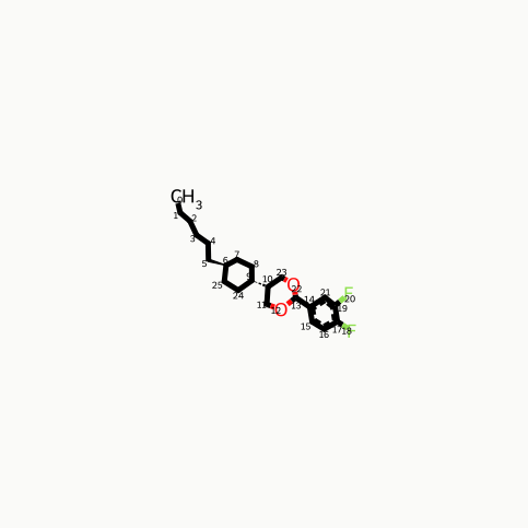 CCCCCC[C@H]1CC[C@H](C2COC(c3ccc(F)c(F)c3)OC2)CC1